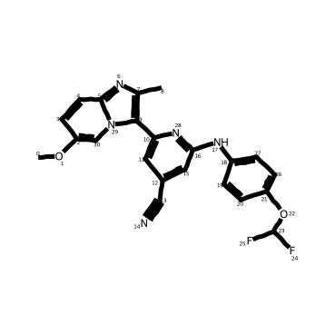 COc1ccc2nc(C)c(-c3cc(C#N)cc(Nc4ccc(OC(F)F)cc4)n3)n2c1